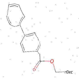 CCCCCCCCCCCOC(=O)c1ccc(-c2ccccc2)cc1